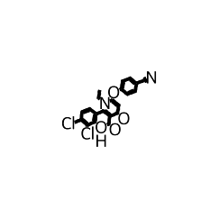 CCn1c(Oc2ccc(C#N)cc2)cc(=O)c(C(=O)O)c1-c1ccc(Cl)c(Cl)c1